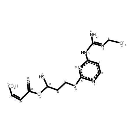 NC(=NCC(F)(F)F)Nc1ccnc(SCCC(S)OC(=O)/C=C\C(=O)O)n1